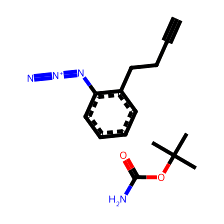 C#CCCc1ccccc1N=[N+]=[N-].CC(C)(C)OC(N)=O